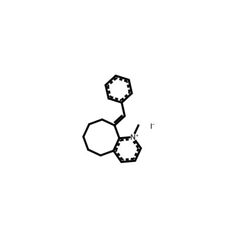 C[n+]1cccc2c1C(=Cc1ccccc1)CCCCC2.[I-]